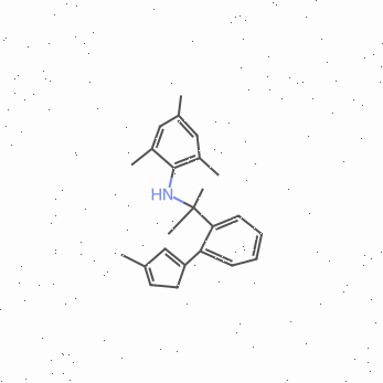 CC1=CCC(c2ccccc2C(C)(C)Nc2c(C)cc(C)cc2C)=C1